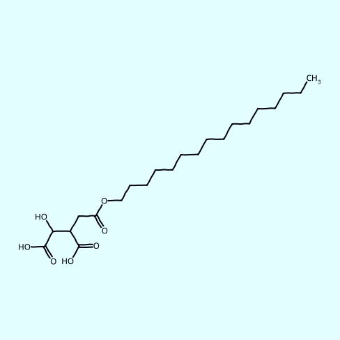 CCCCCCCCCCCCCCCCOC(=O)CC(C(=O)O)C(O)C(=O)O